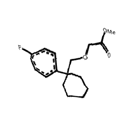 COC(=O)COCC1(c2ccc(F)cc2)CCCCC1